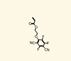 C=CC(=O)OCCOc1c(F)c(F)c(C#N)c(F)c1C#N